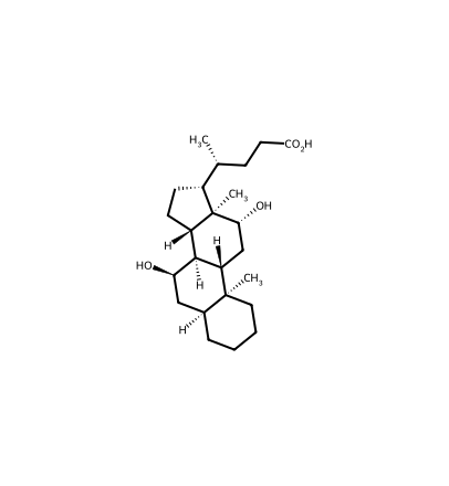 C[C@H](CCC(=O)O)[C@H]1CC[C@H]2[C@@H]3[C@H](O)C[C@@H]4CCCC[C@]4(C)[C@H]3C[C@@H](O)[C@]12C